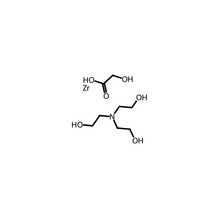 O=C(O)CO.OCCN(CCO)CCO.[Zr]